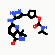 CC(C)NC(=O)O[C@@H]1CC[C@H](c2cc(Nc3ccc4c(n3)C(C)(C)NC4=O)[nH]n2)C1